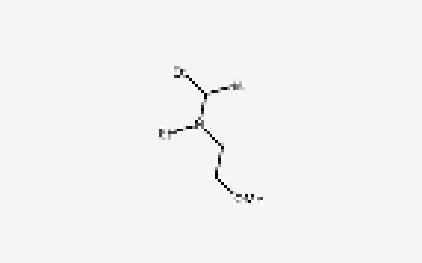 CCC(CC)N(CC)CCOC